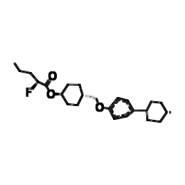 CCC[C@H](F)C(=O)O[C@H]1CC[C@H](COc2ccc(C3CC[CH]CC3)cc2)CC1